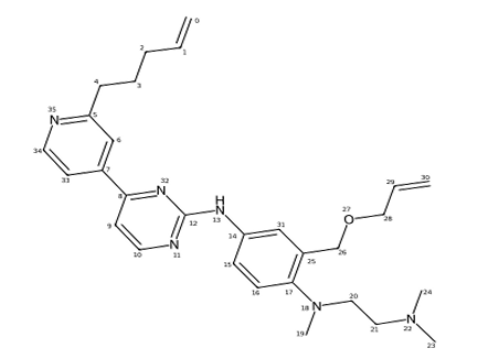 C=CCCCc1cc(-c2ccnc(Nc3ccc(N(C)CCN(C)C)c(COCC=C)c3)n2)ccn1